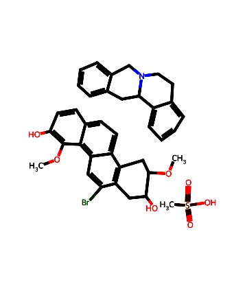 COc1c(O)ccc2ccc3c4c(c(Br)cc3c12)CC(O)C(OC)C4.CS(=O)(=O)O.c1ccc2c(c1)CC1c3ccccc3CCN1C2